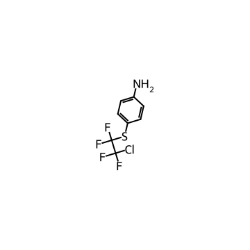 Nc1ccc(SC(F)(F)C(F)(F)Cl)cc1